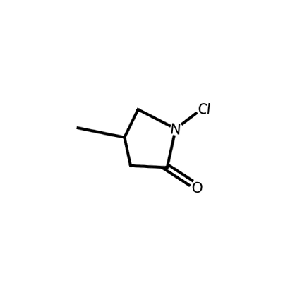 CC1CC(=O)N(Cl)C1